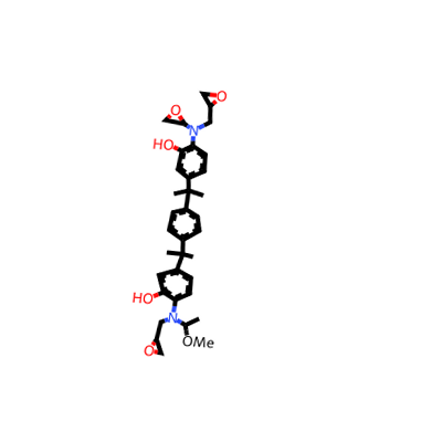 COC(C)N(CC1CO1)c1ccc(C(C)(C)c2ccc(C(C)(C)c3ccc(N(CC4CO4)C4CO4)c(O)c3)cc2)cc1O